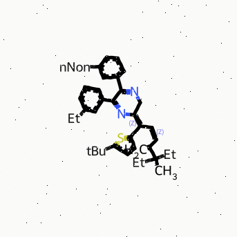 C=C(/C=C\C(=C1/CN=C(c2cccc(CCCCCCCCC)c2)C(c2cccc(CC)c2)=N1)c1ccc(C(C)(C)C)s1)C(C)(CC)CC